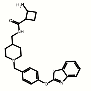 NC1CCC1C(=O)NCC1CCN(Cc2ccc(Oc3nc4ccccc4s3)cc2)CC1